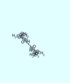 CO[Si](CNC(=O)NC/C=C/CNC(=O)NC[Si](OC)(OC)OC)(OC)OC